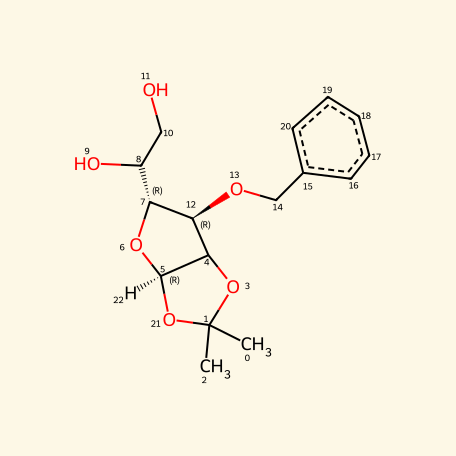 CC1(C)OC2[C@H](O[C@H](C(O)CO)[C@H]2OCc2ccccc2)O1